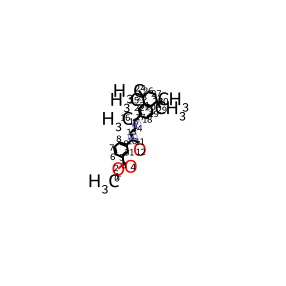 CCOC(=O)c1cccc(/C(C=O)=C/C=C(\C)c2ccc3c(c2)C(C)(C)CCC3(C)C)c1